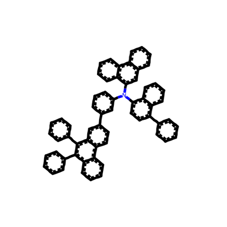 c1ccc(-c2ccc(N(c3cccc(-c4ccc5c(c4)c(-c4ccccc4)c(-c4ccccc4)c4ccccc45)c3)c3cc4ccccc4c4ccccc34)c3ccccc23)cc1